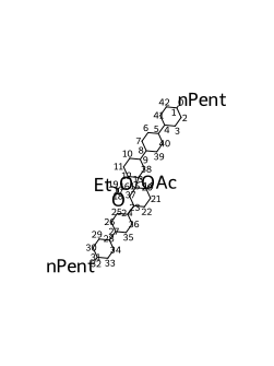 CCCCCC1CCC(C2CCC(C3CCCC(OC(C)=O)(C4(OC(=O)CC)CCCC(C5CCC(C6CCC(CCCCC)CC6)CC5)C4)C3)CC2)CC1